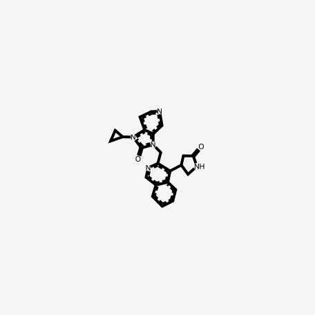 O=C1CC(c2c(Cn3c(=O)n(C4CC4)c4ccncc43)ncc3ccccc23)CN1